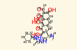 C=C(Nc1cc(N(C)C)c2c(c1O)C(=O)C1=C(O)[C@@]3(O)C(=O)C(C(C)=O)=C(O)C[C@@]3(C)C[C@@]1(C)C2)NC1CCCCC1